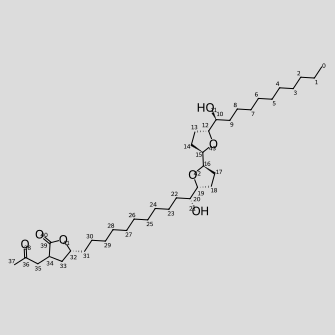 CCCCCCCCCC[C@H](O)[C@H]1CC[C@H]([C@H]2CC[C@H]([C@H](O)CCCCCCCCCC[C@@H]3CC(CC(C)=O)C(=O)O3)O2)O1